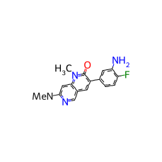 CNc1cc2c(cn1)cc(-c1ccc(F)c(N)c1)c(=O)n2C